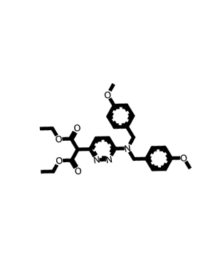 CCOC(=O)C(C(=O)OCC)c1ccc(N(Cc2ccc(OC)cc2)Cc2ccc(OC)cc2)nn1